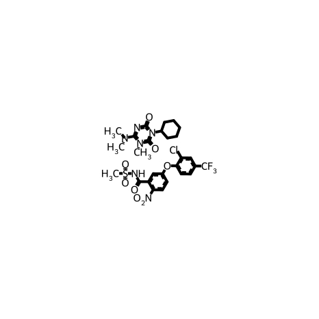 CN(C)c1nc(=O)n(C2CCCCC2)c(=O)n1C.CS(=O)(=O)NC(=O)c1cc(Oc2ccc(C(F)(F)F)cc2Cl)ccc1[N+](=O)[O-]